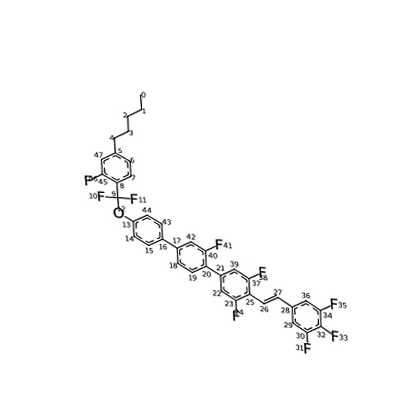 CCCCCc1ccc(C(F)(F)Oc2ccc(-c3ccc(-c4cc(F)c(/C=C/c5cc(F)c(F)c(F)c5)c(F)c4)c(F)c3)cc2)c(F)c1